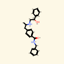 CC(Cc1ccc(C(=O)NCc2ccccc2)cc1)NC[C@H](O)c1ccccc1